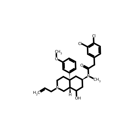 C=CCN1CC[C@@]2(c3cccc(OC)c3)C[C@@H](N(C)C(=O)Cc3ccc(Cl)c(Cl)c3)CC(O)[C@@H]2C1